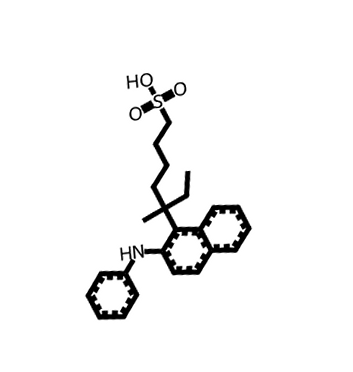 CCC(C)(CCCCS(=O)(=O)O)c1c(Nc2ccccc2)ccc2ccccc12